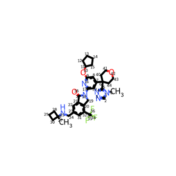 Cn1cnnc1C1(c2cc(OC3CCCC3)nc(N3Cc4c(cc(CNC5(C)CCC5)cc4C(F)(F)F)C3=O)c2)CCOCC1